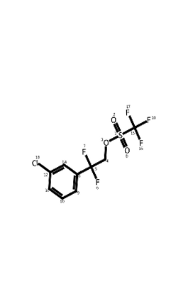 O=S(=O)(OCC(F)(F)c1cccc(Cl)c1)C(F)(F)F